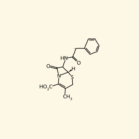 CC1=C(C(=O)O)N2C(=O)C(NC(=O)[CH]c3ccccc3)[C@@H]2SC1